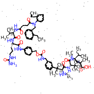 C=Cc1ccccc1N(Cc1ccccc1CC)C(=O)CCC(=O)N[C@H](C(=O)N[C@@H](CCCNC(N)=O)C(=O)Nc1ccc(COC(=O)NCc2cccc(C(C)(C)[C@H](NC)C(=O)N[C@H](C(=O)N(C)[C@H](/C=C(\C)C(=O)O)C(C)C)C(C)(C)C)c2)cc1)C(C)C